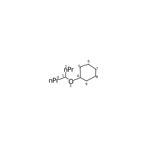 CCCC(CCC)OC1CCCCC1